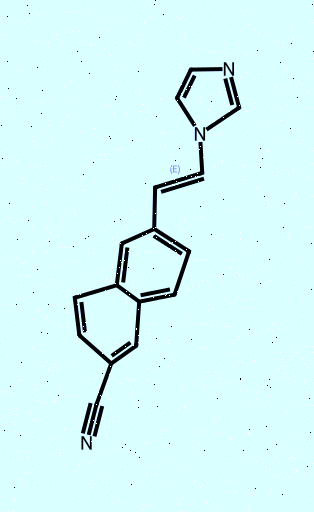 N#Cc1ccc2cc(/C=C/n3ccnc3)ccc2c1